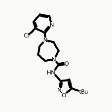 CC(C)(C)c1cc(NC(=O)N2CCCN(c3ncccc3Cl)CC2)no1